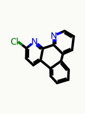 Clc1ccc2c3ccccc3c3cccnc3c2n1